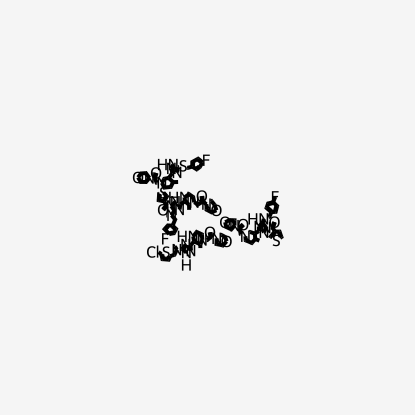 CC1C(c2n[nH]c(N(C)Cc3ccc(Cl)s3)n2)NCCN1CC(=O)N1CCOCC1.CC1C(c2nc(N(C)Cc3ccc(F)cc3)n(C(=O)c3ccsc3)n2)NCCN1CC(=O)N1CCOCC1.CC1CCN(CC(=O)N2CCOCC2)CC1c1n[nH]c(SCc2ccc(F)cc2)n1.CC1CCN(CC(=O)N2CCOCC2)CC1c1nc(NCc2ccc(F)cc2)n(C(=O)c2ccsc2)n1